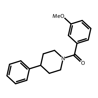 COc1cccc(C(=O)N2CCC(c3ccccc3)CC2)c1